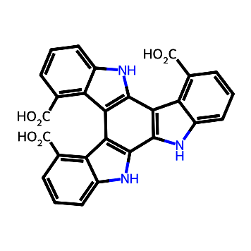 O=C(O)c1cccc2[nH]c3c4[nH]c5cccc(C(=O)O)c5c4c4c([nH]c5cccc(C(=O)O)c54)c3c12